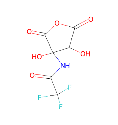 O=C1OC(=O)C(O)(NC(=O)C(F)(F)F)C1O